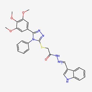 COc1cc(-c2nnc(SCC(=O)N/N=C/c3c[nH]c4ccccc34)n2-c2ccccc2)cc(OC)c1OC